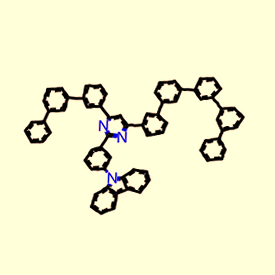 c1ccc(-c2cccc(-c3cccc(-c4cccc(-c5cccc(-c6cc(-c7cccc(-c8cccc(-c9ccccc9)c8)c7)nc(-c7cccc(-n8c9ccccc9c9ccccc98)c7)n6)c5)c4)c3)c2)cc1